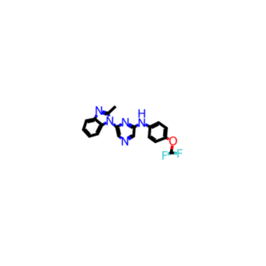 Cc1nc2ccccc2n1-c1cncc(Nc2ccc(OC(F)F)cc2)n1